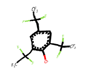 [O]c1c(C(F)(F)C(F)(F)F)cc(C(F)(F)C(F)(F)F)cc1C(F)(F)C(F)(F)F